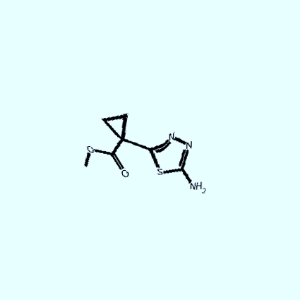 COC(=O)C1(c2nnc(N)s2)CC1